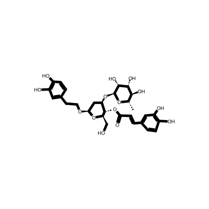 C[C@@H]1O[C@@H](O[C@@H]2C[C@H](OCCc3ccc(O)c(O)c3)O[C@H](CO)[C@H]2OC(=O)/C=C/c2ccc(O)c(O)c2)[C@H](O)[C@H](O)[C@H]1O